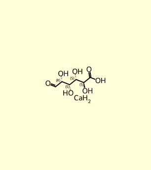 O=C[C@H](O)[C@@H](O)[C@H](O)[C@H](O)C(=O)O.[CaH2]